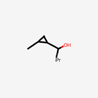 CC(C)C(O)C1CC1C